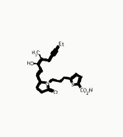 CCC#CC[C@H](C)[C@H](O)C=CC1CCC(=O)N1CCCc1ccc(C(=O)O)s1